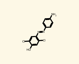 Nc1ccc(/N=N/c2cc(Cl)c(O)cc2Cl)cc1